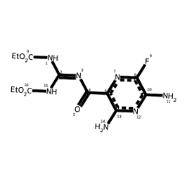 CCOC(=O)NC(=NC(=O)c1nc(F)c(N)nc1N)NC(=O)OCC